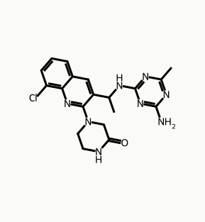 Cc1nc(N)nc(NC(C)c2cc3cccc(Cl)c3nc2N2CCNC(=O)C2)n1